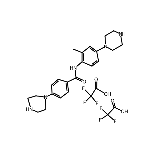 Cc1cc(N2CCNCC2)ccc1NC(=O)c1ccc(N2CCNCC2)cc1.O=C(O)C(F)(F)F.O=C(O)C(F)(F)F